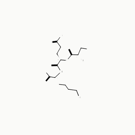 NCCCC[C@@H](NC(=O)[C@@H](CCC(=O)O)NC(=O)[C@@H](N)CS)C(=O)O